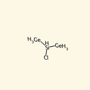 Cl[SiH]([GeH3])[GeH3]